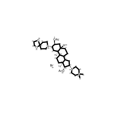 CC(=O)O[C@H]1C[C@@H]2CCC3C4C[C@H](N5CC[N+](C)(C)CC5)[C@H](OC(C)=O)[C@@]4(C)CCC3[C@@]2(C)C[C@@H]1N1CCC2(CC1)OCCO2.[Br-]